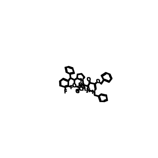 CS(=O)(=O)OC(C(c1ccccc1)c1cccc(F)c1F)C1CCCN1C(=O)c1nn(Cc2ccccc2)cc(OCc2ccccc2)c1=O